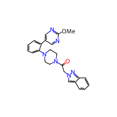 COc1ncc(-c2ccccc2N2CCN(C(=O)Cn3cc4ccccc4n3)CC2)cn1